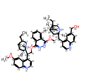 CCC1C[N@@]2CCC1C[C@@H]2[C@@H](COc1nnc(OC[C@@H](c2ccnc3ccc(CO)cc23)[C@H]2C[C@H]3CCN2C[C@@H]3CC)c2ccccc12)c1ccnc2ccc(OC)cc12